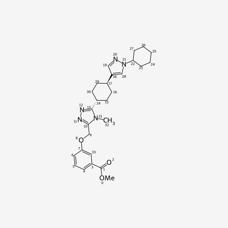 COC(=O)c1cccc(OCc2nnc([C@H]3CC[C@H](c4cnn(C5CCCCC5)c4)CC3)n2C)c1